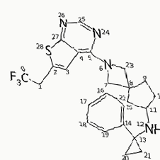 FC(F)(F)Cc1cc2c(N3CC4(CCC(NC5(c6ccccc6)CC5)C4)C3)ncnc2s1